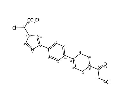 CCOC(=O)C(Cl)n1cnc(-c2ccc(C3=CCN(C(=O)CCl)CC3)cc2)n1